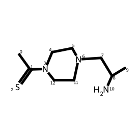 CC(=S)N1CCN(CC(C)N)CC1